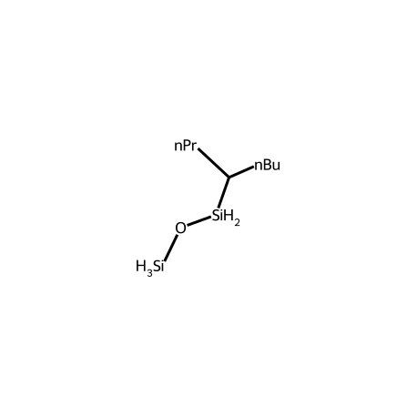 CCCCC(CCC)[SiH2]O[SiH3]